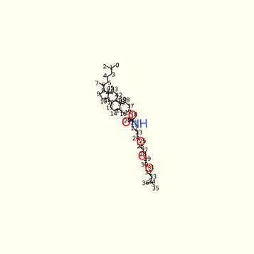 CC(C)CCCC(C)C1CCC2C3CC=C4CC(OC(=O)NCCCOCCOCCOCCC(C)C)CCC4(C)C3CCC12C